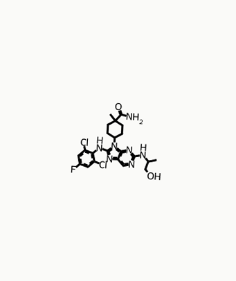 CC(CO)Nc1ncc2nc(Nc3c(Cl)cc(F)cc3Cl)n(C3CCC(C)(C(N)=O)CC3)c2n1